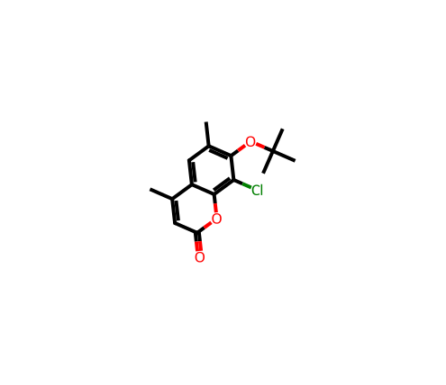 Cc1cc2c(C)cc(=O)oc2c(Cl)c1OC(C)(C)C